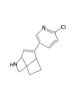 Clc1ccc(C2=CC3NCC34CCC24)cn1